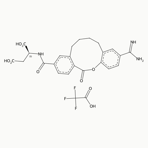 N=C(N)c1ccc2c(c1)CCCCc1cc(C(=O)N[C@@H](CC(=O)O)C(=O)O)ccc1C(=O)O2.O=C(O)C(F)(F)F